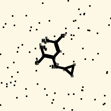 N/C(Cl)=C(\C=C(/N)Cl)NC1CC1